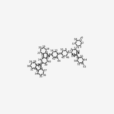 Cc1ccc(-c2cc(-c3ccc(-c4ccc(-n5c6ccccc6c6cc(-n7c8ccccc8c8ccccc87)ccc65)cc4C)cc3)nc(-c3ccc(C)cc3)n2)cc1